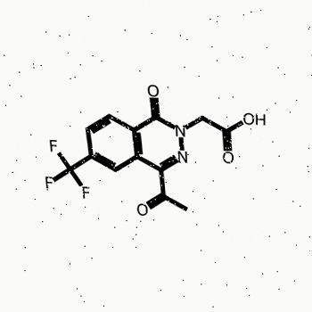 CC(=O)c1nn(CC(=O)O)c(=O)c2ccc(C(F)(F)F)cc12